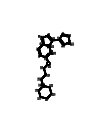 c1cc(-c2cnc3ccc(OCCCN4CCCCC4)nn23)cs1